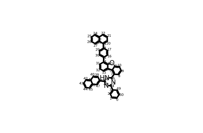 c1ccc(C2=NC(c3cccc4oc5c(-c6ccc(-c7cccc8ccccc78)cc6)cccc5c34)NC(c3ccc4ccccc4c3)=N2)cc1